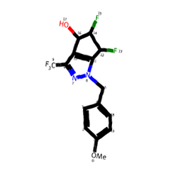 COc1ccc(Cn2nc(C(F)(F)F)c3c2C(F)C(F)C3O)cc1